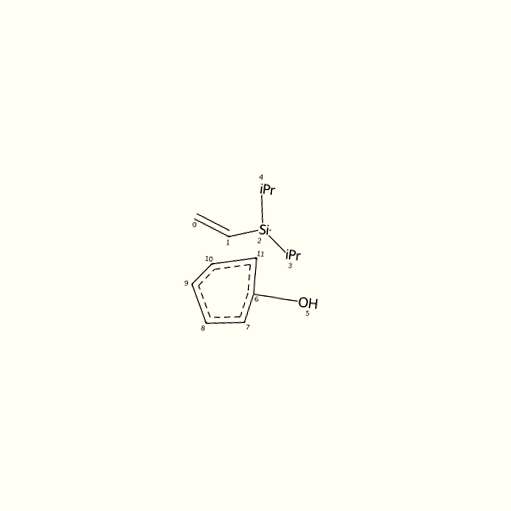 C=C[Si](C(C)C)C(C)C.Oc1ccccc1